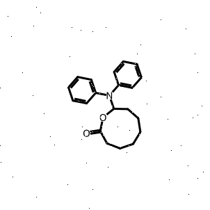 O=C1CCCCCCC(N(c2ccccc2)c2ccccc2)O1